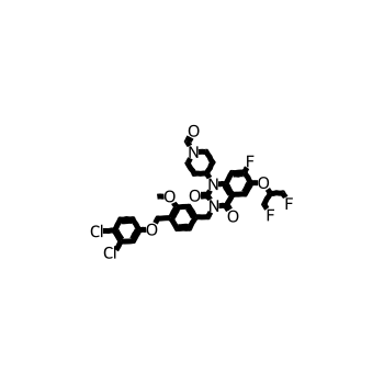 COc1cc(Cn2c(=O)c3cc(OC(CF)CF)c(F)cc3n(C3CCN(C=O)CC3)c2=O)ccc1COc1ccc(Cl)c(Cl)c1